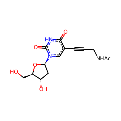 CC(=O)NCC#Cc1cn([C@H]2C[C@H](O)[C@@H](CO)O2)c(=O)[nH]c1=O